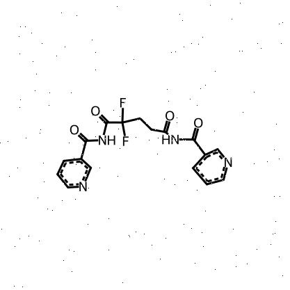 O=C(CCC(F)(F)C(=O)NC(=O)c1cccnc1)NC(=O)c1cccnc1